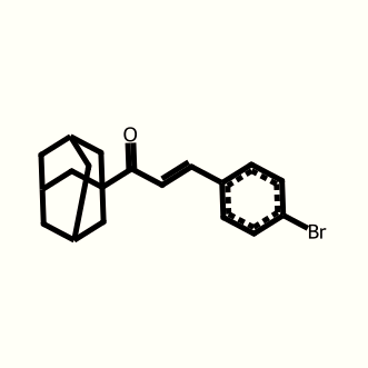 O=C(C=Cc1ccc(Br)cc1)C12CC3CC(CC(C3)C1)C2